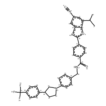 [C-]#[N+]c1cc(C(C)C)c2oc(-c3ccc(C(=O)NCc4ccc(N5CCC(c6ccc(C(F)(F)F)cc6)C5)cc4)cc3)nc2c1